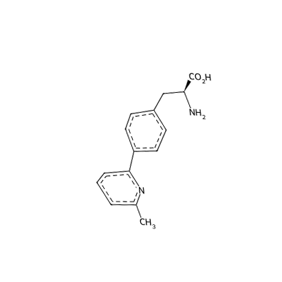 Cc1cccc(-c2ccc(C[C@H](N)C(=O)O)cc2)n1